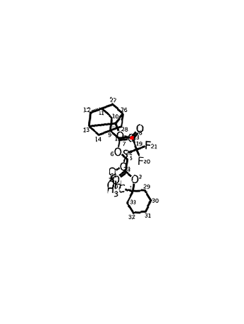 CC1(OC(=O)COC(=O)C23CC4CC(C2)C(OC(=O)C(F)(F)SOOO)C(C4)C3)CCCCC1